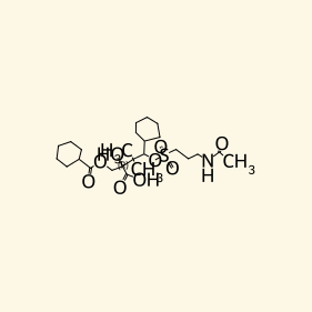 CC(=O)NCCCS(=O)(=O)OC(C1CCCCC1)C(C)(C)[C@@](O)(COC(=O)C1CCCCC1)C(=O)O